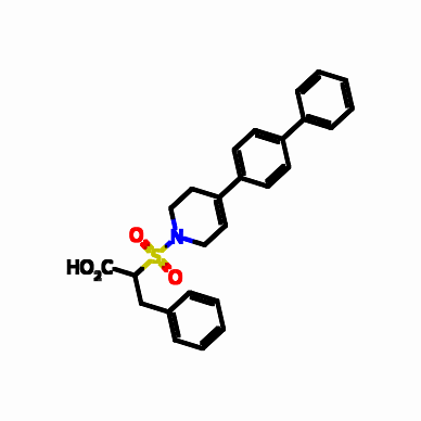 O=C(O)C(Cc1ccccc1)S(=O)(=O)N1CC=C(c2ccc(-c3ccccc3)cc2)CC1